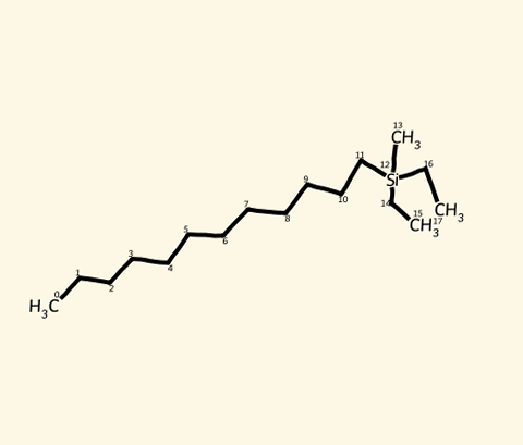 CCCCCCCCCCCC[Si](C)(CC)CC